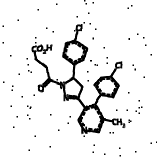 Cc1cncc(C2=NN(C(=O)CCC(=O)O)C(c3ccc(Cl)cc3)C2)c1-c1ccc(Cl)cc1